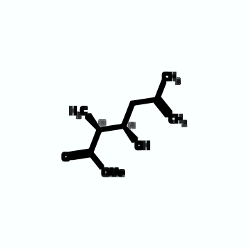 C=C(C)C[C@@H](O)[C@H](C)C(=O)OC